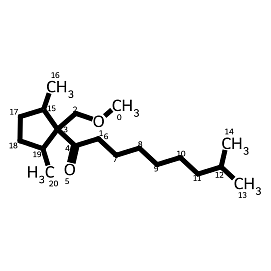 COCC1(C(=O)CCCCCCC(C)C)C(C)CCC1C